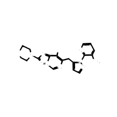 CCCc1c(Cc2ccnn2-c2ncccc2C#N)ncn2nc(N3CCOCC3)nc12